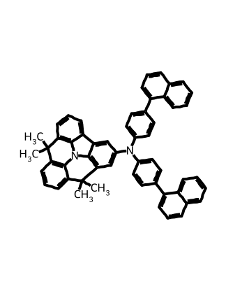 CC1(C)c2cccc3c2-n2c4c1cccc4c1cc(N(c4ccc(-c5cccc6ccccc56)cc4)c4ccc(-c5cccc6ccccc56)cc4)cc(c12)C3(C)C